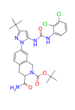 CC(C)(C)OC(=O)N1Cc2cc(-n3nc(C(C)(C)C)cc3NC(=O)Nc3cccc(Cl)c3Cl)ccc2CC1C(N)=O